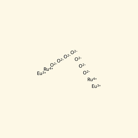 [Eu+3].[Eu+3].[O-2].[O-2].[O-2].[O-2].[O-2].[O-2].[O-2].[Ru+4].[Ru+4]